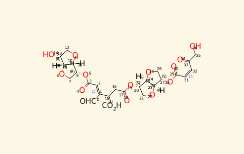 O=C/C(=C\C(=O)O[C@@H]1CO[C@H]2[C@@H]1OC[C@H]2O)C(CC(=O)O[C@H]1CO[C@H]2[C@@H]1OC[C@@H]2OC(=O)/C=C\C(=O)CO)C(=O)O